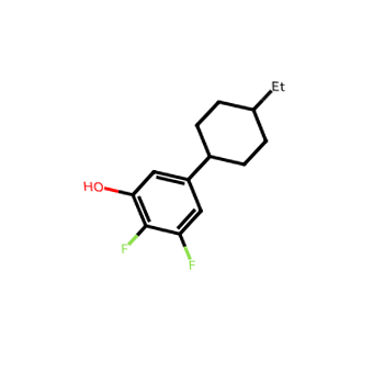 CCC1CCC(c2cc(O)c(F)c(F)c2)CC1